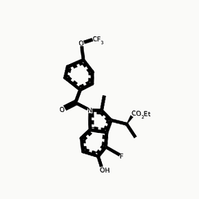 CCOC(=O)[C@@H](C)c1c(C)n(C(=O)c2ccc(OC(F)(F)F)cc2)c2ccc(O)c(F)c12